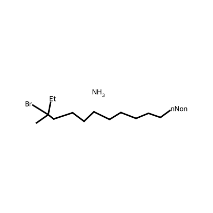 CCCCCCCCCCCCCCCCCCC(C)(Br)CC.N